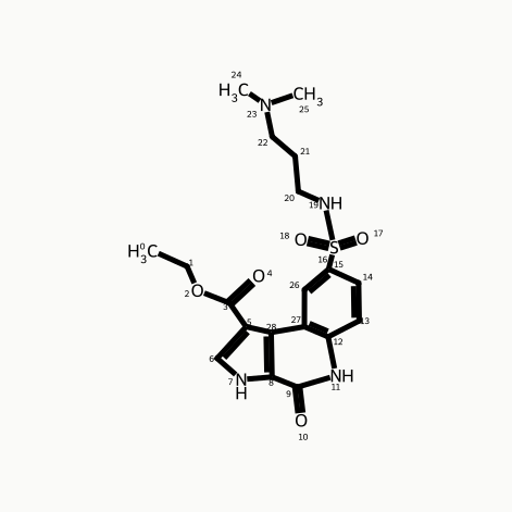 CCOC(=O)c1c[nH]c2c(=O)[nH]c3ccc(S(=O)(=O)NCCCN(C)C)cc3c12